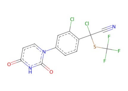 N#CC(Cl)(SC(F)(F)F)c1ccc(-n2ccc(=O)[nH]c2=O)cc1Cl